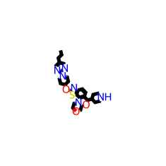 CCCc1cnc(N2CCC(Oc3nc4ccc(C(=O)C5CCNCC5)c(N5CCOCC5)c4s3)CC2)nc1